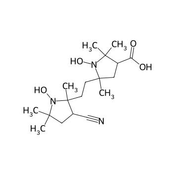 CC1(C)CC(C#N)C(C)(CCC2(C)CC(C(=O)O)C(C)(C)N2O)N1O